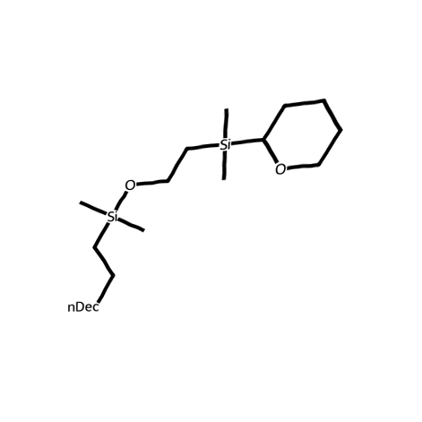 CCCCCCCCCCCC[Si](C)(C)OCC[Si](C)(C)C1CCCCO1